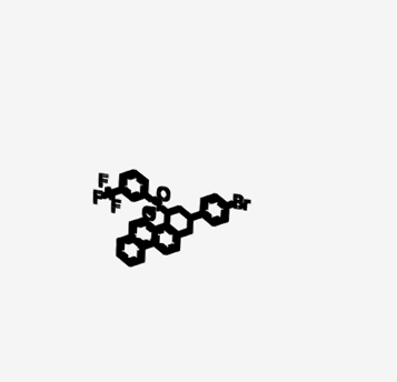 O=S(=O)(c1cccc(C(F)(F)F)c1)C1CC(c2ccc(Br)cc2)Cc2ccc3c(ccc4ccccc43)c21